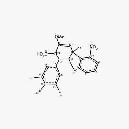 COC1=NC(C)(c2ccccc2[N+](=O)[O-])C(C(C)=O)C(c2cc(F)c(F)c(F)c2)N1C(=O)O